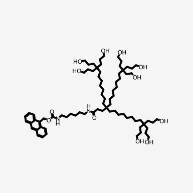 O=C(CCC(CCCCCCCCC(CCO)(CCCO)CCCO)(CCCCCCCCC(CCCO)(CCCO)CCCO)CCCCCCCCC(CCCO)(CCCO)CCCO)NCCCCCCNC(=O)OCc1c2ccccc2cc2ccccc12